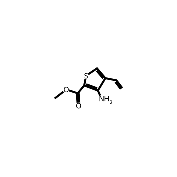 C=Cc1csc(C(=O)OC)c1N